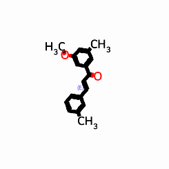 COc1cc(C)cc(C(=O)/C=C/c2cccc(C)c2)c1